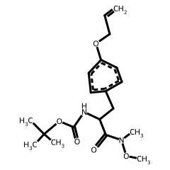 C=CCOc1ccc(CC(NC(=O)OC(C)(C)C)C(=O)N(C)OC)cc1